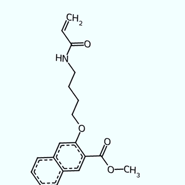 C=CC(=O)NCCCCOc1cc2ccccc2cc1C(=O)OC